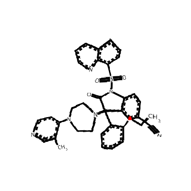 CCOc1ccccc1C1(N2CCN(c3ccncc3C)CC2)C(=O)N(S(=O)(=O)c2cccc3cccnc23)c2ccc(C#N)cc21